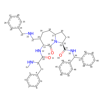 CNC(Cc1ccccc1)C(=O)NC1C(=O)N2C(CCC1CNCc1ccccc1)CC[C@H]2C(=O)NC(c1ccccc1)c1ccccc1